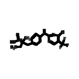 CCC(C)(Cc1ccc(Nc2ncc(C(F)(F)F)c(Cl)n2)cc1)[PH](=O)O